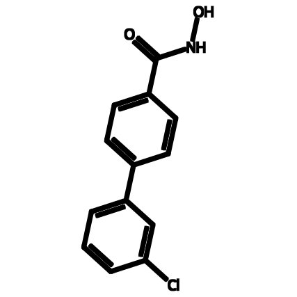 O=C(NO)c1ccc(-c2cccc(Cl)c2)cc1